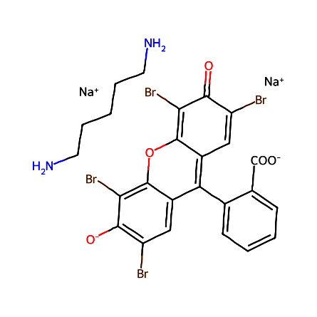 NCCCCCN.O=C([O-])c1ccccc1-c1c2cc(Br)c(=O)c(Br)c-2oc2c(Br)c([O-])c(Br)cc12.[Na+].[Na+]